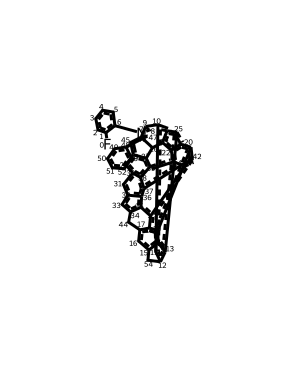 Fc1ccccc1N1CC2c3cc4c5c6c(cc7c8c6c6c9c%10c(c3c59)C3c5c(cc9cc%11cc(c%12c%11c%11c9c5c%10c%11c6c%128)C7)=CC23C1c1ccccc1)C4